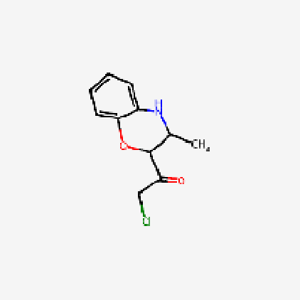 CC1Nc2ccccc2OC1C(=O)CCl